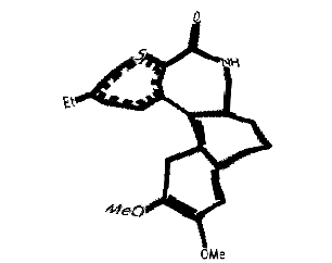 CCc1cc2c(s1)C(=O)NC1CCC3=CC(OC)=C(OC)CC3=C21